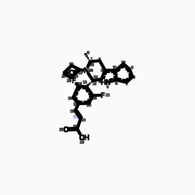 C[C@@H]1Cc2c([nH]c3ccccc23)[C@H](c2c(F)cc(/C=C/C(=O)O)cc2F)N1C12CC(C1)C2